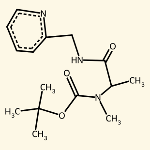 CC(C(=O)NCc1ccccn1)N(C)C(=O)OC(C)(C)C